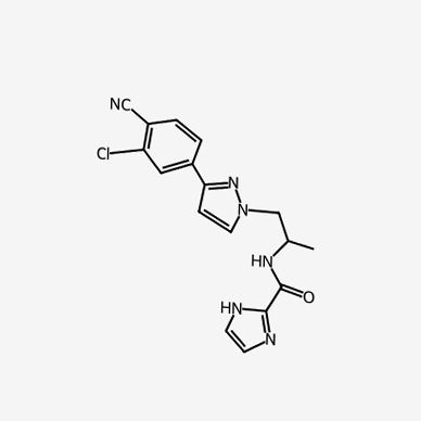 CC(Cn1ccc(-c2ccc(C#N)c(Cl)c2)n1)NC(=O)c1ncc[nH]1